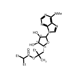 CCC(CC)[PH](=O)OC(C)(CC)C[C@H]1OC(n2cnc3c(NC)ncnc32)[C@H](O)[C@@H]1O